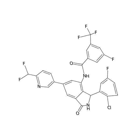 O=C(Nc1cc(-c2ccc(C(F)F)nc2)cc2c1C(c1cc(F)ccc1Cl)NC2=O)c1cc(F)cc(C(F)(F)F)c1